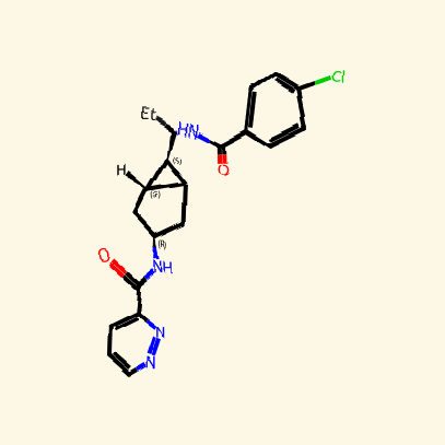 CCC(NC(=O)c1ccc(Cl)cc1)[C@H]1C2C[C@@H](NC(=O)c3cccnn3)C[C@@H]21